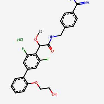 CCOC(C(=O)NCc1ccc(C(=N)N)cc1)c1c(F)cc(-c2ccccc2OCCO)cc1F.Cl